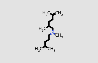 C=C(C)CCC(C)CN(C)CCCC(C)C